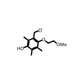 COCCOc1c(C)c(C)c(O)c(C)c1CCl